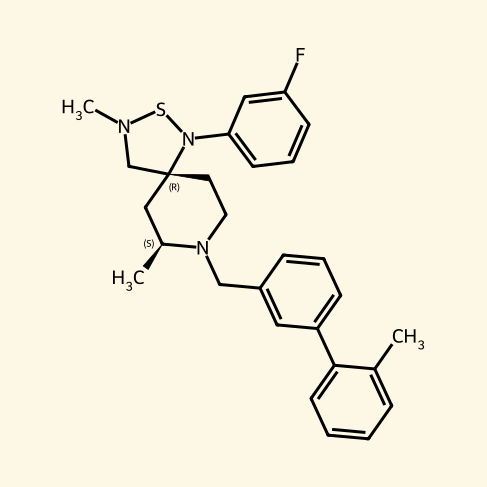 Cc1ccccc1-c1cccc(CN2CC[C@@]3(C[C@@H]2C)CN(C)SN3c2cccc(F)c2)c1